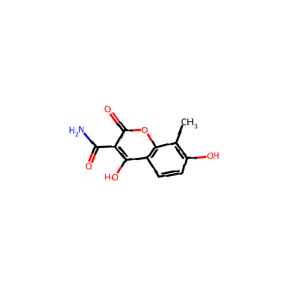 Cc1c(O)ccc2c(O)c(C(N)=O)c(=O)oc12